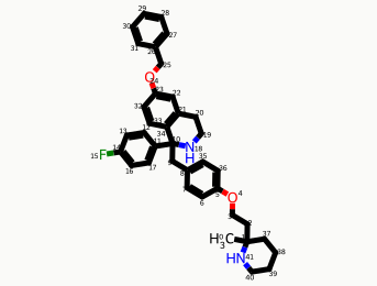 CC1(CCOc2ccc(CC3(c4ccc(F)cc4)NCCc4cc(OCc5ccccc5)ccc43)cc2)CCCCN1